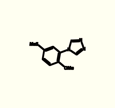 COc1ccc(SC)cc1-n1cnnc1